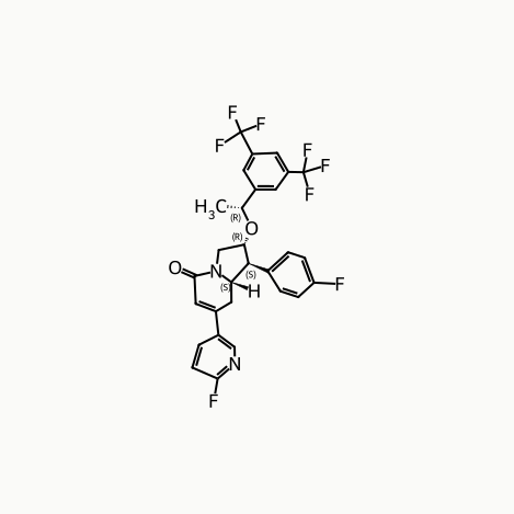 C[C@@H](O[C@H]1CN2C(=O)C=C(c3ccc(F)nc3)C[C@H]2[C@@H]1c1ccc(F)cc1)c1cc(C(F)(F)F)cc(C(F)(F)F)c1